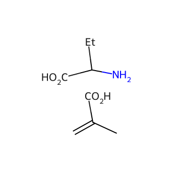 C=C(C)C(=O)O.CCC(N)C(=O)O